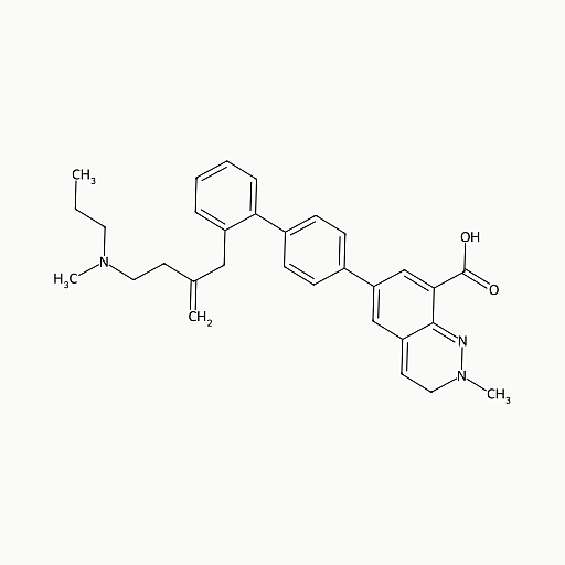 C=C(CCN(C)CCC)Cc1ccccc1-c1ccc(-c2cc(C(=O)O)c3c(c2)=CCN(C)N=3)cc1